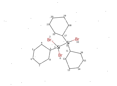 Br[Si](Br)(C1CCCCC1)[Si](Br)(C1CCCCC1)C1CCCCC1